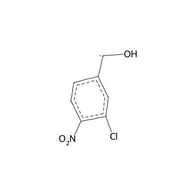 O=[N+]([O-])c1ccc([CH]O)cc1Cl